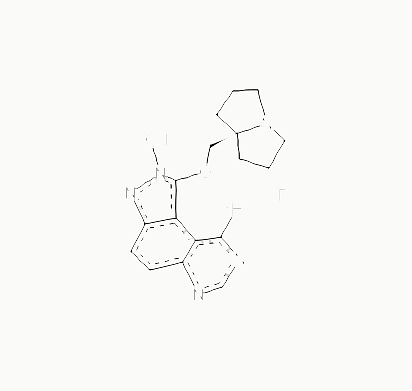 [2H]c1ncnc2ccc3nn(C)c(OC[C@@]45CCCN4C[C@H](F)C5)c3c12